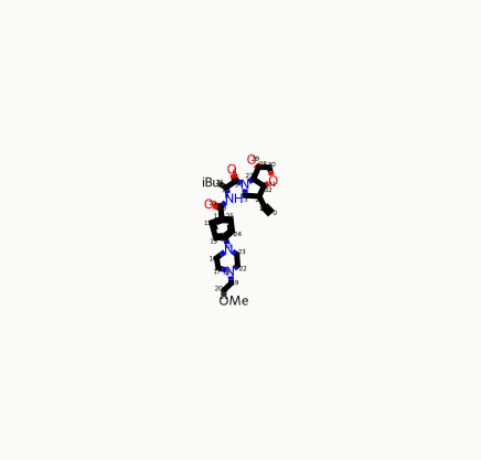 C#CC1CN(C(=O)C(NC(=O)c2ccc(N3CCN(CCOC)CC3)cc2)C(C)CC)C2C(=O)COC12